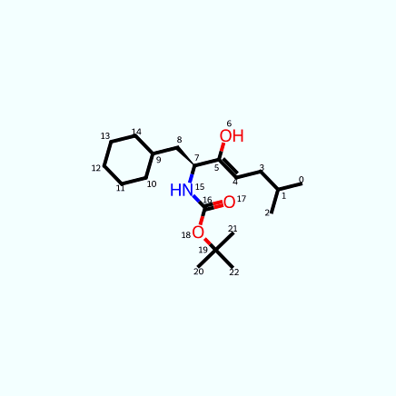 CC(C)C/C=C(\O)[C@H](CC1CCCCC1)NC(=O)OC(C)(C)C